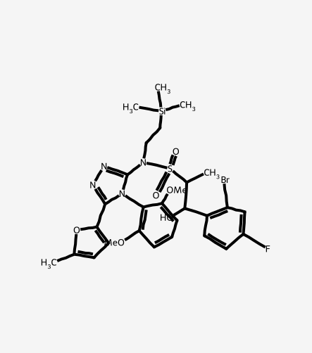 COc1cccc(OC)c1-n1c(-c2ccc(C)o2)nnc1N(CC[Si](C)(C)C)S(=O)(=O)C(C)C(O)c1ccc(F)cc1Br